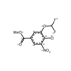 COC(=O)c1cc(OC(F)F)c(Cl)c([N+](=O)[O-])c1